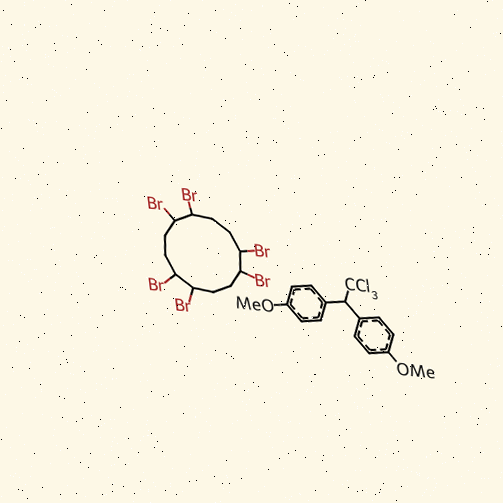 BrC1CCC(Br)C(Br)CCC(Br)C(Br)CCC1Br.COc1ccc(C(c2ccc(OC)cc2)C(Cl)(Cl)Cl)cc1